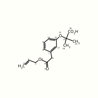 C=CCOC(=O)Cc1cccc(OC(C)(C)C(=O)O)c1